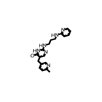 Cc1ccc(Cc2cnc(NCCCNc3ccccn3)[nH]c2=O)cn1